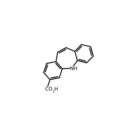 O=C(O)c1ccc2c(c1)Nc1ccccc1C=C2